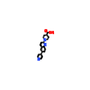 O=C(O)C1CCN(c2ccc3cc(-c4ccncc4)ccc3n2)CC1